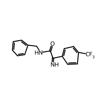 N=C(C(=O)NCc1ccccc1)c1ccc(C(F)(F)F)cc1